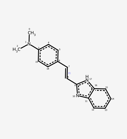 CN(C)c1ccc(/C=C/c2nc3ccccc3[nH]2)cc1